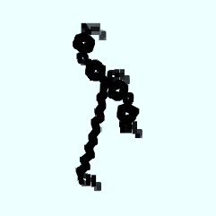 CCCCCCCCCCCCCCCCC(C)(c1ccc(Oc2ccc(N)cc2)cc1)c1ccc(Oc2ccc(N)cc2)cc1